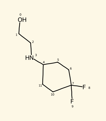 OCCNC1CCC(F)(F)CC1